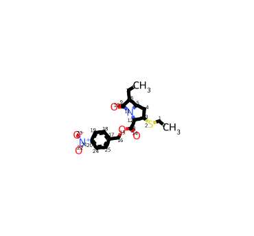 CCSC1CC2C(CC)C(=O)N2C1C(=O)OCc1ccc([N+](=O)[O-])cc1